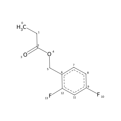 CCC(=O)OCc1ccc(F)cc1F